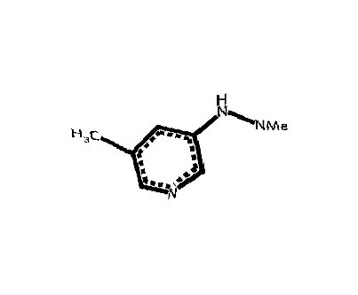 CNNc1cncc(C)c1